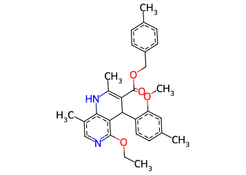 CCOc1ncc(C)c2c1C(c1ccc(C)cc1OC)C(C(=O)OCc1ccc(C)cc1)=C(C)N2